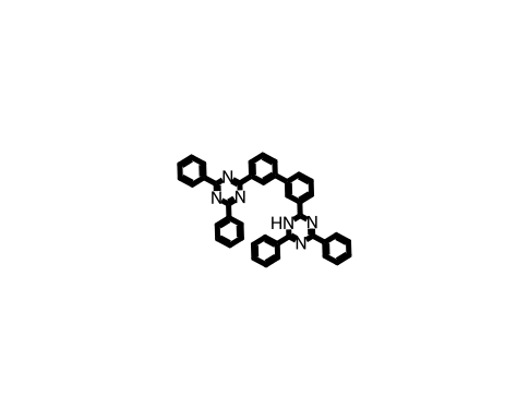 c1ccc(C2=NC(c3cccc(-c4cccc(-c5nc(-c6ccccc6)nc(-c6ccccc6)n5)c4)c3)NC(c3ccccc3)=N2)cc1